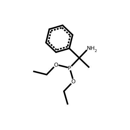 CCOP(OCC)C(C)(N)c1ccccc1